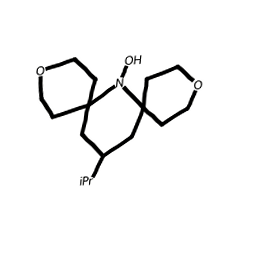 CC(C)C1CC2(CCOCC2)N(O)C2(CCOCC2)C1